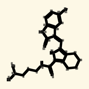 CCN(CC)CCCNC(=O)c1[nH]c(C=C2C(=O)Nc3ccc(Br)cc32)c2c1CCCC2